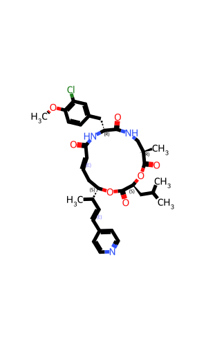 COc1ccc(C[C@H]2NC(=O)/C=C/C[C@@H](C(C)/C=C/c3ccncc3)OC(=O)[C@H](CC(C)C)OC(=O)[C@H](C)CNC2=O)cc1Cl